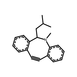 CC(C)CC1c2ccccc2C#Cc2ccccc2N1C